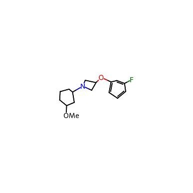 COC1CCCC(N2CC(Oc3cccc(F)c3)C2)C1